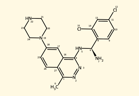 Cc1nnc(N[C@H](N)c2ccc(Cl)cc2Cl)c2cc(N3CCNCC3)ccc12